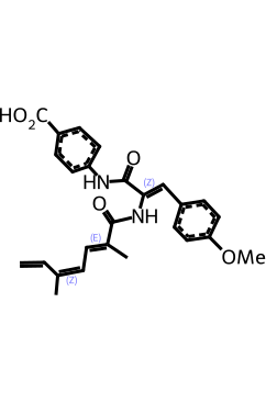 C=C/C(C)=C\C=C(/C)C(=O)N/C(=C\c1ccc(OC)cc1)C(=O)Nc1ccc(C(=O)O)cc1